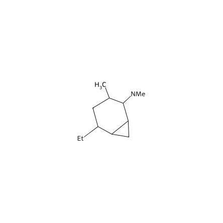 CCC1CC(C)C(NC)C2CC12